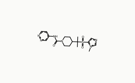 Cn1cncc1S(=O)(=O)C(C)(C)C1CCN(C(=O)Nc2ccnnc2)CC1